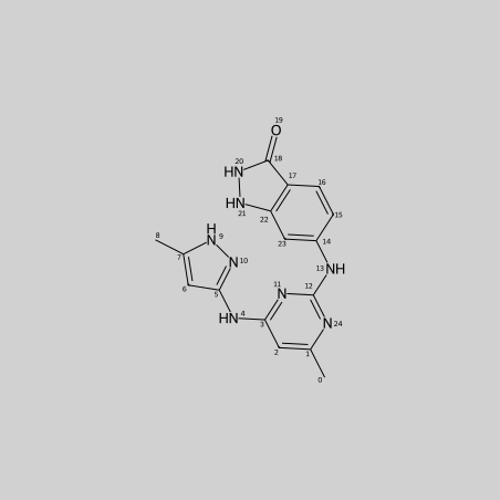 Cc1cc(Nc2cc(C)[nH]n2)nc(Nc2ccc3c(=O)[nH][nH]c3c2)n1